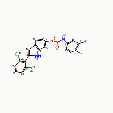 Cc1ccc(NC(=O)Oc2ccc3cc(-c4c(Cl)cccc4Cl)[nH]c3c2)cc1C